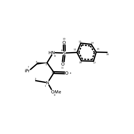 CON(C)C(=O)[C@@H](CC(C)C)NS(=O)(=O)c1ccc(C)cc1